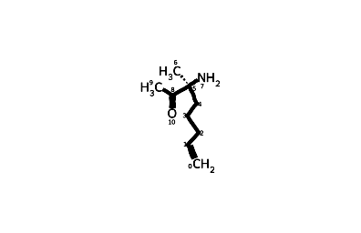 C=CCCC[C@](C)(N)C(C)=O